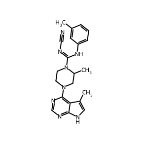 Cc1cccc(N/C(=N\C#N)N2CCN(c3ncnc4[nH]cc(C)c34)CC2C)c1